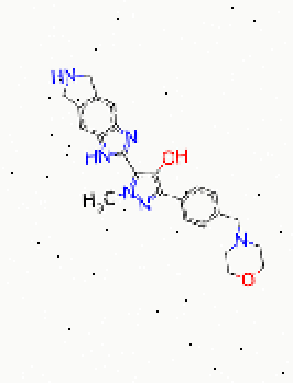 Cn1nc(-c2ccc(CN3CCOCC3)cc2)c(O)c1-c1nc2cc3c(cc2[nH]1)CNC3